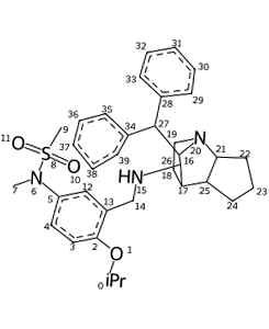 CC(C)Oc1ccc(N(C)S(C)(=O)=O)cc1CNC1C2CCN(C3CCCC23)C1C(c1ccccc1)c1ccccc1